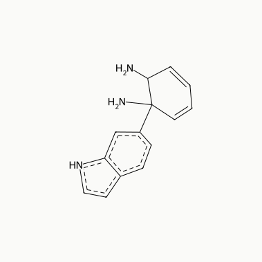 NC1C=CC=CC1(N)c1ccc2cc[nH]c2c1